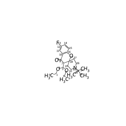 CCOC(OCC)C1C(=O)c2cc(F)ccc2OC12CCN(C(C)(C)C)CC2